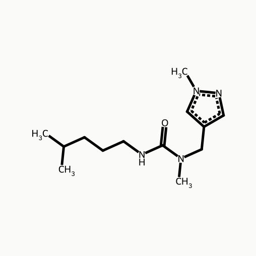 CC(C)CCCNC(=O)N(C)Cc1cnn(C)c1